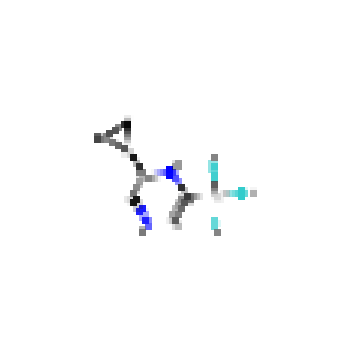 FC(F)(F)c1cn[c]c(C2CC2)n1